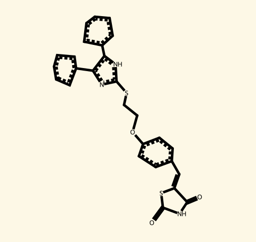 O=C1NC(=O)C(=Cc2ccc(OCCSc3nc(-c4ccccc4)c(-c4ccccc4)[nH]3)cc2)S1